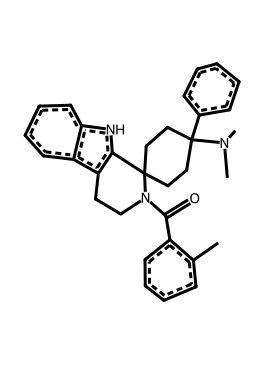 Cc1ccccc1C(=O)N1CCc2c([nH]c3ccccc23)C12CCC(c1ccccc1)(N(C)C)CC2